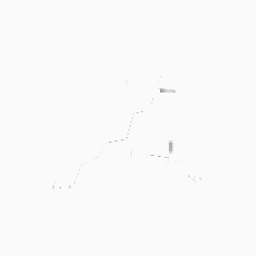 CCCCCCCCCCCCCCOP(=O)(O)O.O=P([O-])(O)O.[Na+]